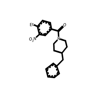 CCc1ccc(C(=O)N2CCC(Cc3ccccc3)CC2)cc1[N+](=O)[O-]